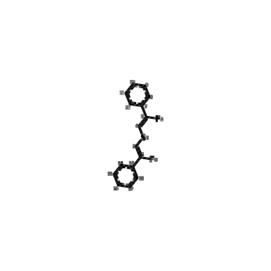 FC(=CSC=C(F)c1ccccc1)c1ccccc1